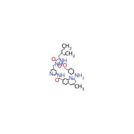 C=C/C=C(\C=C)CC(NC(=O)OCc1ccccc1)C(=O)NCc1cncc(NC(=O)c2ccc3c(c2)N=C(N)CC(C)=C3)c1